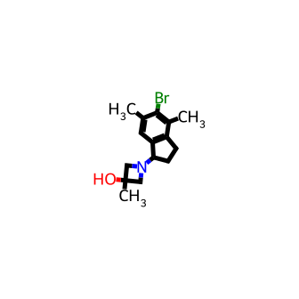 Cc1cc2c(c(C)c1Br)CCC2N1CC(C)(O)C1